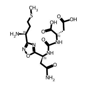 CSCC[C@H](N)c1noc([C@H](CC(N)=O)NC(=O)N[C@@H](CC(=O)O)C(=O)O)n1